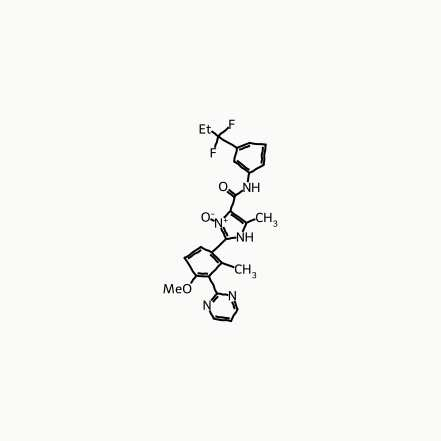 CCC(F)(F)c1cccc(NC(=O)c2c(C)[nH]c(-c3ccc(OC)c(-c4ncccn4)c3C)[n+]2[O-])c1